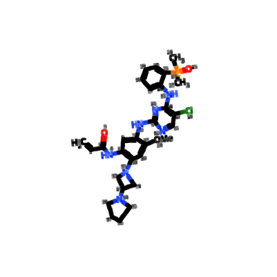 C=CC(=O)Nc1cc(Nc2ncc(Cl)c(Nc3ccccc3P(C)(C)=O)n2)c(OC)cc1N1CC(N2CCCC2)C1